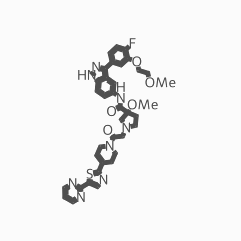 COCCOc1cc(-c2n[nH]c3ccc(NC(=O)[C@]4(OC)CCN(CC(=O)N5CC=C(c6ncc(-c7ncccn7)s6)CC5)C4)cc23)ccc1F